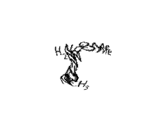 COc1cc2nc(N3CCN(c4ccnc(C)n4)CC3)nc(N)c2cc1OC